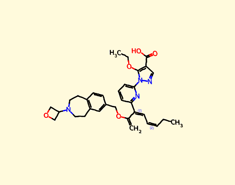 C=C(OCc1ccc2c(c1)CCN(C1COC1)CC2)/C(=C\C=C/CC)c1cccc(-n2ncc(C(=O)O)c2OCC)n1